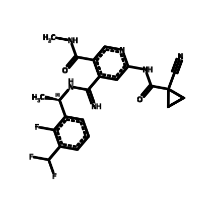 CNC(=O)c1cnc(NC(=O)C2(C#N)CC2)cc1C(=N)N[C@H](C)c1cccc(C(F)F)c1F